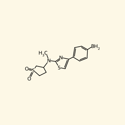 Bc1ccc(-c2csc(N(C)C3CCS(=O)(=O)C3)n2)cc1